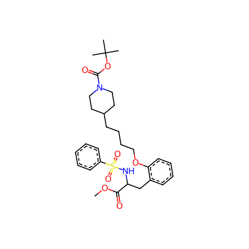 COC(=O)C(Cc1ccccc1OCCCCC1CCN(C(=O)OC(C)(C)C)CC1)NS(=O)(=O)c1ccccc1